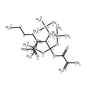 C=C(C)C(=O)OC(O[Si](C)(C)C)(O[Si](C)(C)C)C(O[Si](C)(C)C)N(CCC[SiH3])C(=O)O